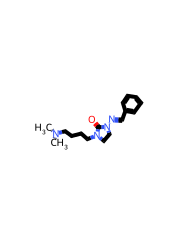 CN(C)CCCCN1CCN(N=Cc2ccccc2)C1=O